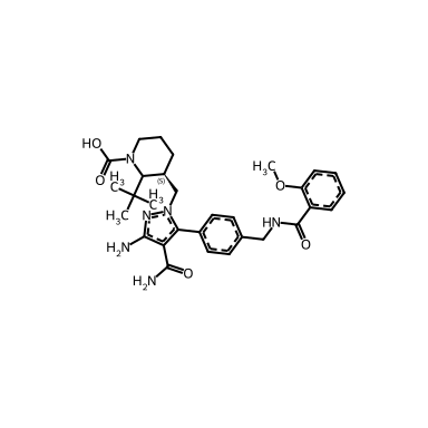 COc1ccccc1C(=O)NCc1ccc(-c2c(C(N)=O)c(N)nn2C[C@@H]2CCCN(C(=O)O)C2C(C)(C)C)cc1